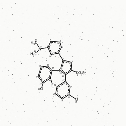 CCOC(=O)c1cc(-c2cccc(N(C)C)c2)n(-c2cccc(Cl)c2F)c1-c1cccc(Cl)c1